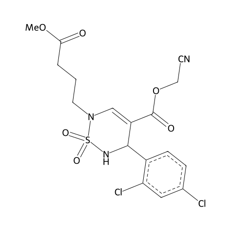 COC(=O)CCCN1C=C(C(=O)OCC#N)C(c2ccc(Cl)cc2Cl)NS1(=O)=O